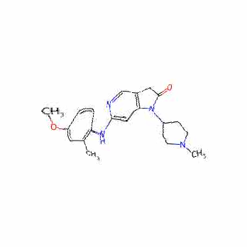 COc1ccc(Nc2cc3c(cn2)CC(=O)N3C2CCN(C)CC2)c(C)c1